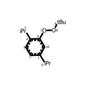 CC(C)c1ccc(C(C)C)c(OOC(C)(C)C)c1